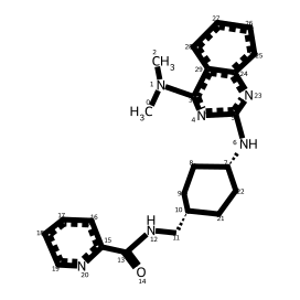 CN(C)c1nc(N[C@H]2CC[C@@H](CNC(=O)c3ccccn3)CC2)nc2ccccc12